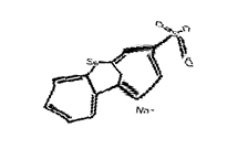 O=S(=O)([O-])c1ccc2c(c1)[se]c1ccccc12.[Na+]